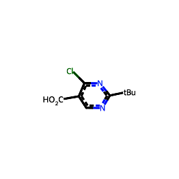 CC(C)(C)c1ncc(C(=O)O)c(Cl)n1